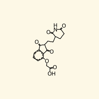 O=C(O)COc1cccc2c1C(=O)C(CCC1CCC(=O)NC1=O)C2=O